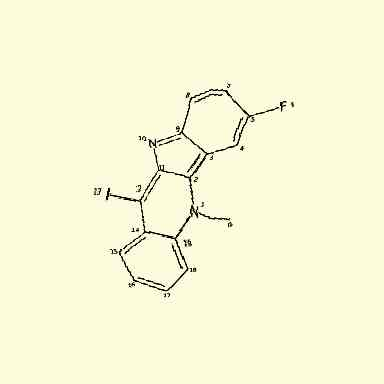 Cn1c2c3cc(F)ccc3nc-2c(I)c2ccccc21